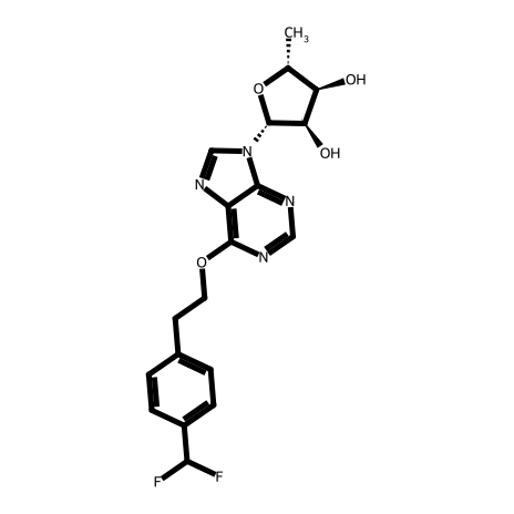 C[C@H]1O[C@@H](n2cnc3c(OCCc4ccc(C(F)F)cc4)ncnc32)[C@H](O)[C@@H]1O